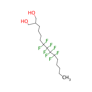 CCCCCC(F)(F)C(F)(F)C(F)(F)C(F)(F)CCCCC(CO)CO